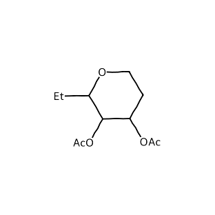 CCC1OCCC(OC(C)=O)C1OC(C)=O